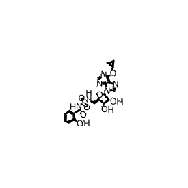 O=C(NS(=O)(=O)NCC1O[C@@H](n2cnc3c(OC4CC4)ncnc32)[C@H](O)[C@@H]1O)c1ccccc1O